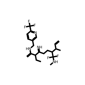 C=CC(C)C(CCC(=N)C(CC)C(=C)NCc1ccc(C(F)(F)F)nc1)C(F)(F)NC